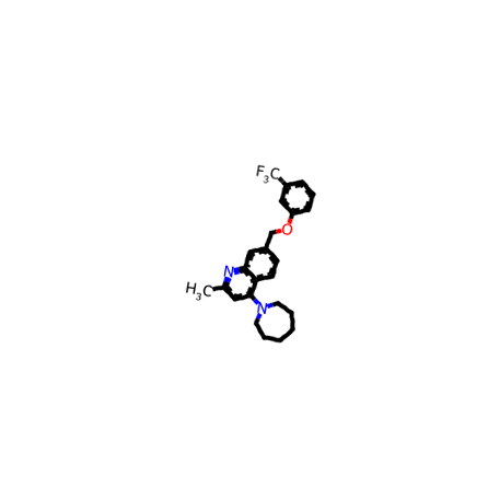 Cc1cc(N2CCCCCC2)c2ccc(COc3cccc(C(F)(F)F)c3)cc2n1